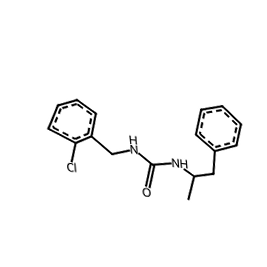 CC(Cc1ccccc1)NC(=O)NCc1ccccc1Cl